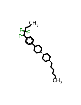 CCCCCC[C@H]1CC[C@H](C2CCC(c3ccc(C(F)C(F)(F)CCC)cc3)CC2)CC1